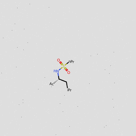 CCCS(=O)(=O)N[C@H](CC(C)C)C(C)=O